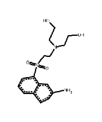 Nc1ccc2cccc(S(=O)(=O)CCN(CCO)CCO)c2c1